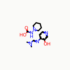 CN(C)C=Nc1ccncc1O.O=C(O)NN1CCCCC1